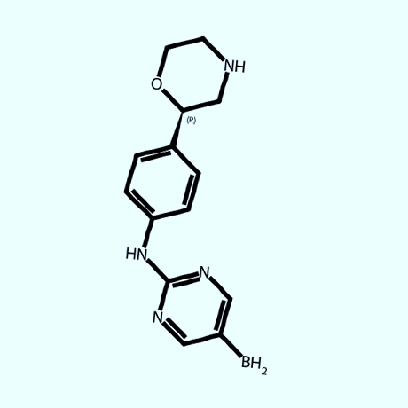 Bc1cnc(Nc2ccc([C@@H]3CNCCO3)cc2)nc1